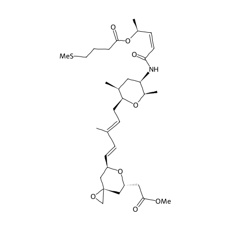 COC(=O)C[C@@H]1C[C@]2(CO2)C[C@@H](/C=C/C(C)=C/C[C@@H]2O[C@H](C)[C@H](NC(=O)/C=C\[C@H](C)OC(=O)CCCSC)C[C@@H]2C)O1